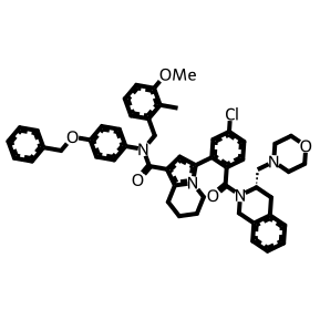 COc1cccc(CN(C(=O)c2cc(-c3cc(Cl)ccc3C(=O)N3Cc4ccccc4C[C@H]3CN3CCOCC3)n3c2CCCC3)c2ccc(OCc3ccccc3)cc2)c1C